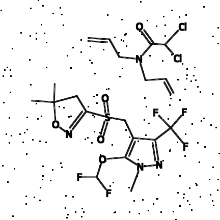 C=CCN(CC=C)C(=O)C(Cl)Cl.Cn1nc(C(F)(F)F)c(CS(=O)(=O)C2=NOC(C)(C)C2)c1OC(F)F